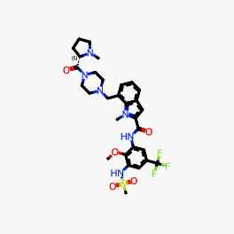 COc1c(NC(=O)c2cc3cccc(CN4CCN(C(=O)[C@@H]5CCCN5C)CC4)c3n2C)cc(C(F)(F)F)cc1NS(C)(=O)=O